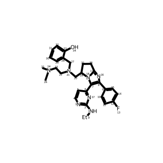 CCNc1nccc(-c2c(-c3ccc(F)cc3)nc3n2C(CN(CCN(C)C)Cc2ccccc2O)CC3)n1